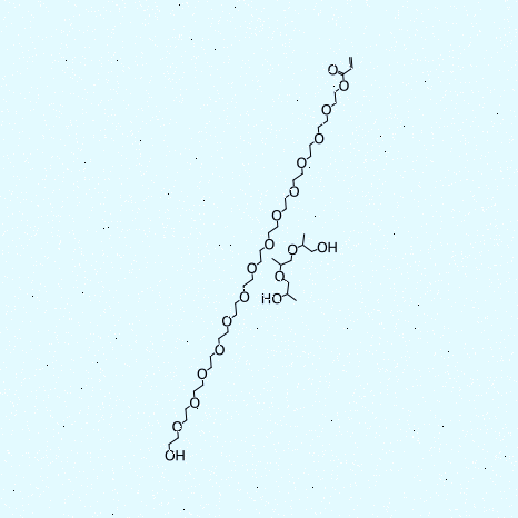 C=CC(=O)OCCOCCOCCOCCOCCOCCOCCOCCOCCOCCOCCOCCOCCOCCO.CC(O)COC(C)COC(C)CO